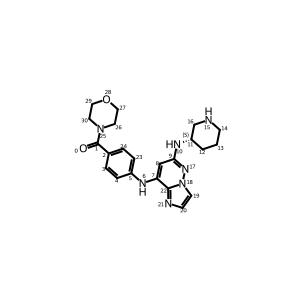 O=C(c1ccc(Nc2cc(N[C@H]3CCCNC3)nn3ccnc23)cc1)N1CCOCC1